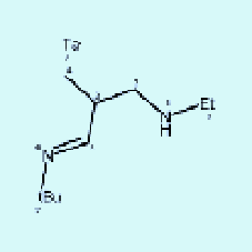 CCNCC(C)C=NC(C)(C)C.[Ta]